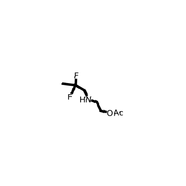 CC(=O)OCCNCC(C)(F)F